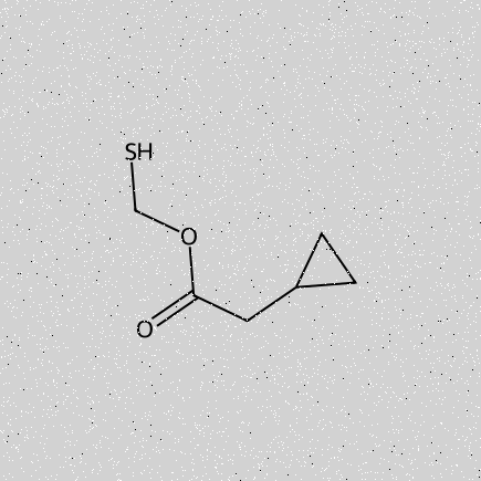 O=C(CC1CC1)OCS